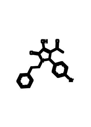 CC(=O)C1=C(O)C(=O)N(CCc2ccccc2)C1c1ccc(Br)cc1